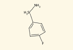 N[SiH2]c1ccc(F)cc1